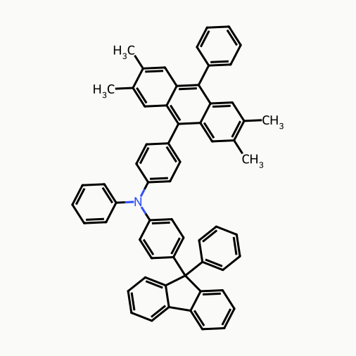 Cc1cc2c(-c3ccccc3)c3cc(C)c(C)cc3c(-c3ccc(N(c4ccccc4)c4ccc(C5(c6ccccc6)c6ccccc6-c6ccccc65)cc4)cc3)c2cc1C